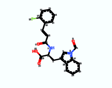 O=Cn1cc(C[C@H](NC(=O)/C=C/c2ccccc2F)C(=O)O)c2ccccc21